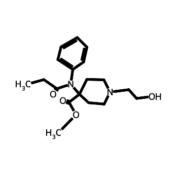 CCC(=O)N(c1ccccc1)C1(C(=O)OC)CCN(CCO)CC1